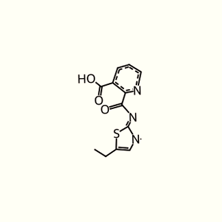 CCC1=C[N]C(=NC(=O)c2ncccc2C(=O)O)S1